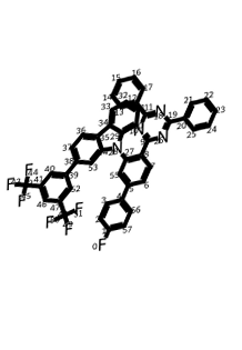 Fc1ccc(-c2ccc(-c3nc(-c4ccccc4)nc(-c4ccccc4)n3)c(-n3c4ccccc4c4ccc(-c5cc(C(F)(F)F)cc(C(F)(F)F)c5)cc43)c2)cc1